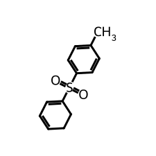 Cc1ccc(S(=O)(=O)C2=CC=CCC2)cc1